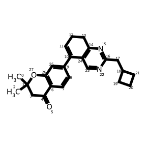 CC1(C)CC(=O)c2ccc(C3=CCCc4nc(CC5CCC5)ncc43)cc2O1